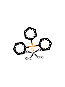 O=[CH][Os]([CH]=O)([CH]=O)([CH]=O)[PH](c1ccccc1)(c1ccccc1)c1ccccc1